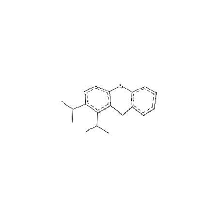 CC(C)c1ccc2c(c1C(C)C)Cc1ccccc1S2